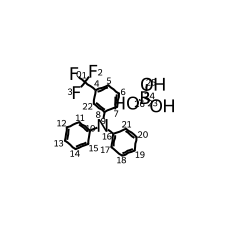 FC(F)(F)c1cccc(N(c2ccccc2)c2ccccc2)c1.OB(O)O